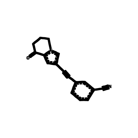 N#Cc1cccc(C#Cc2cc3n(c2)CCCC3=O)c1